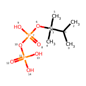 CC(C)[Si](C)(C)OP(=O)(O)OP(=O)(O)O